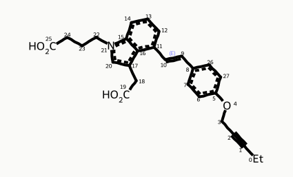 CCC#CCOc1ccc(/C=C/c2cccc3c2c(CC(=O)O)cn3CCCC(=O)O)cc1